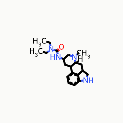 CCN(CC)C(=O)NC1CC2c3cccc4c3C(CN4)C[C@H]2N(C)C1